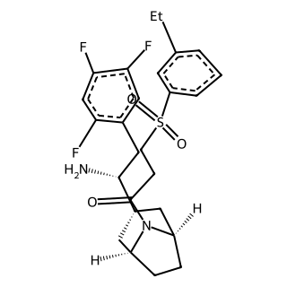 CCc1cccc(S(=O)(=O)CCC(=O)N2[C@@H]3CC[C@H]2C[C@H]([C@H](N)Cc2cc(F)c(F)cc2F)C3)c1